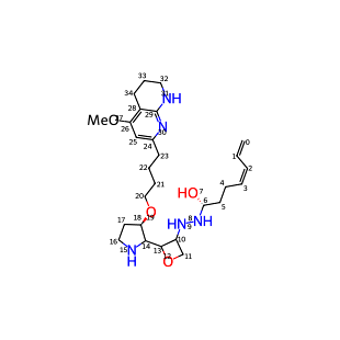 C=C/C=C\CC[C@@H](O)NNC1COC1C1NCC[C@H]1OCCCCc1cc(OC)c2c(n1)NCCC2